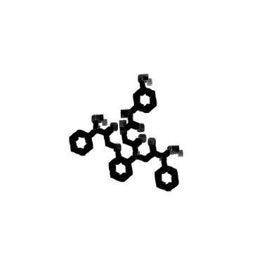 CN(C(=O)COc1ccccc1N(CC(=O)N(C)c1ccccc1)C(=O)CNC(=O)Nc1cccc(C(F)(F)F)c1)c1ccccc1